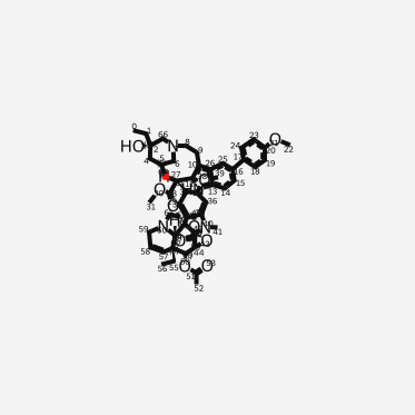 CC[C@]1(O)C[C@H]2CN(CCc3c([nH]c4ccc(-c5ccc(OC)cc5)cc34)[C@@](C(=O)OC)(C3C=C4C(=CC3OC)N(C)[C@@]35O[C@]3(C(=O)OC)[C@H](OC(C)=O)[C@]3(CC)C=CCN6CC[C@]45[C@@H]63)C2)C1